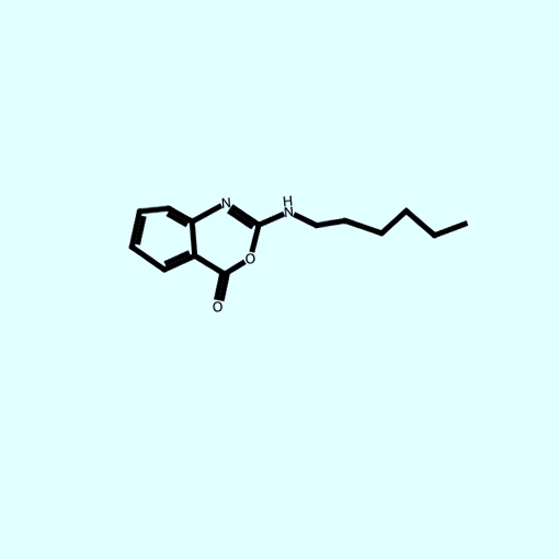 CCCCCCNc1nc2ccccc2c(=O)o1